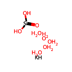 O.O.O.O.O.O=[Si](O)O.[KH]